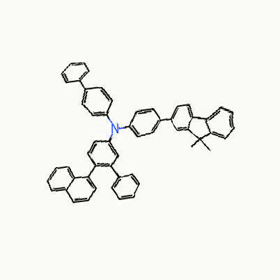 CC1(C)c2ccccc2-c2ccc(-c3ccc(N(c4ccc(-c5ccccc5)cc4)c4ccc(-c5cccc6ccccc56)c(-c5ccccc5)c4)cc3)cc21